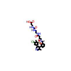 Cc1cnccc1-c1cccc([C@H](C)N(CCCC(=O)NCCNC(=O)NCCC(=O)O)S(=O)(=O)c2cccc(Cl)c2C)c1